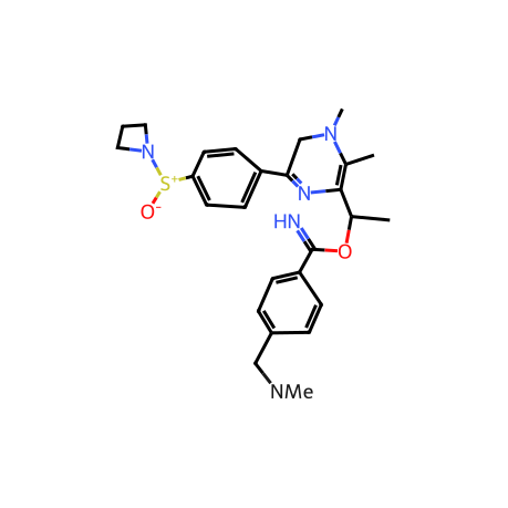 CNCc1ccc(C(=N)OC(C)C2=C(C)N(C)CC(c3ccc([S+]([O-])N4CCC4)cc3)=N2)cc1